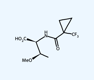 CO[C@H](C)[C@H](NC(=O)C1(C(F)(F)F)CC1)C(=O)O